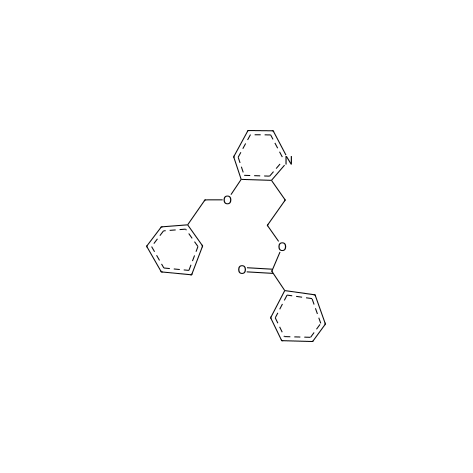 O=C(OCCc1ncccc1OCc1ccccc1)c1ccccc1